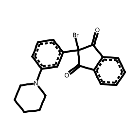 O=C1c2ccccc2C(=O)C1(Br)c1cccc(N2CCCCC2)c1